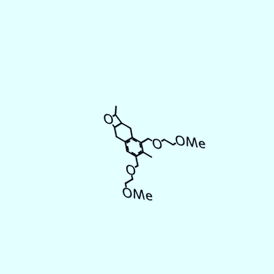 COCCOCc1cc2c(c(COCCOC)c1C)CC1C(C)OC1C2